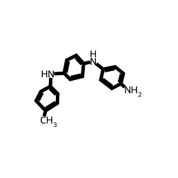 Cc1ccc(Nc2ccc(Nc3ccc(N)cc3)cc2)cc1